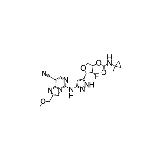 COCc1cn2c(Nc3cc([C@H]4OC[C@@H](OC(=O)NC5(C)CC5)[C@H]4F)[nH]n3)ncc(C#N)c2n1